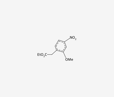 CCOC(=O)Cc1ccc([N+](=O)[O-])cc1OC